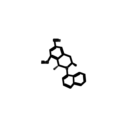 COc1cc2c(c(OC)c1)[C@@H](C)N(c1cccc3ccccc13)[C@H](C)C2